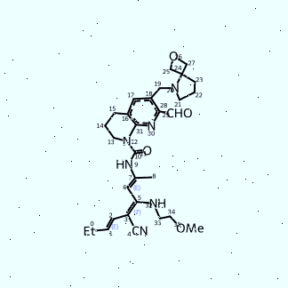 CC/C=C/C(C#N)=C(\C=C(/C)NC(=O)N1CCCc2cc(CN3CCCC34COC4)c(C=O)nc21)NCCOC